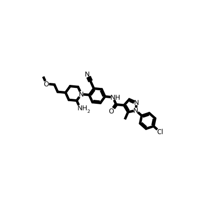 COCCC1CCN(c2ccc(NC(=O)c3cnn(-c4ccc(Cl)cc4)c3C)cc2C#N)C(N)C1